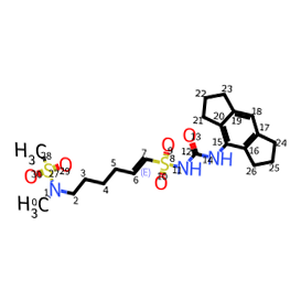 CN(CCCC/C=C/S(=O)(=O)NC(=O)Nc1c2c(cc3c1CCC3)CCC2)S(C)(=O)=O